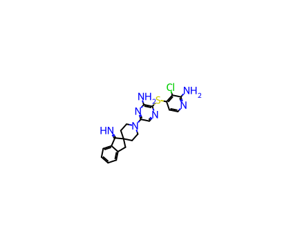 N=C1c2ccccc2CC12CCN(c1cnc(Sc3ccnc(N)c3Cl)c(N)n1)CC2